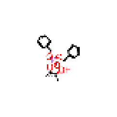 C[C@H](O)[C@@H](C)OP(=O)(OCc1ccccc1)OCc1ccccc1